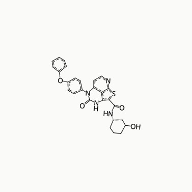 O=C(N[C@H]1CCCC(O)C1)c1sc2nccc3c2c1NC(=O)N3c1ccc(Oc2ccccc2)cc1